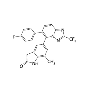 Cc1cc(-c2c(-c3ccc(F)cc3)ccc3nc(C(F)(F)F)nn23)cc2c1NC(=O)C2